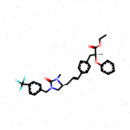 CCOC(=O)[C@](C)(Cc1ccc(/C=C/C[C@H]2CN(Cc3ccc(C(F)(F)F)cc3)C(=O)N2C)cc1)Oc1ccccc1